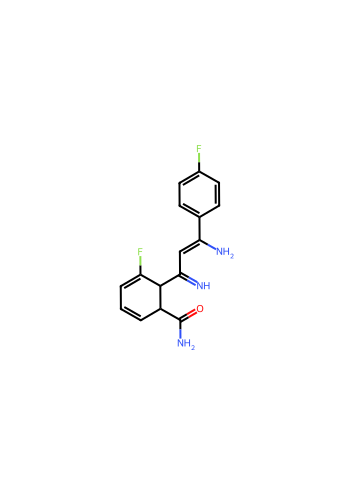 N=C(/C=C(\N)c1ccc(F)cc1)C1C(F)=CC=CC1C(N)=O